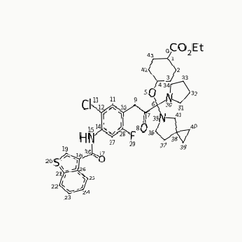 CCOC(=O)C1CCC(OC(C(=O)Cc2cc(Cl)c(NC(=O)c3csc4ccccc34)cc2F)(N2CCCC2)N2CCC3(CC3)C2)CC1